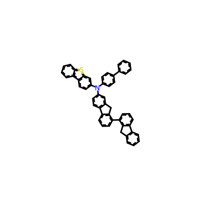 c1ccc(-c2ccc(N(c3ccc4c(c3)Cc3c-4cccc3-c3cccc4c3Cc3ccccc3-4)c3ccc4c(c3)sc3ccccc34)cc2)cc1